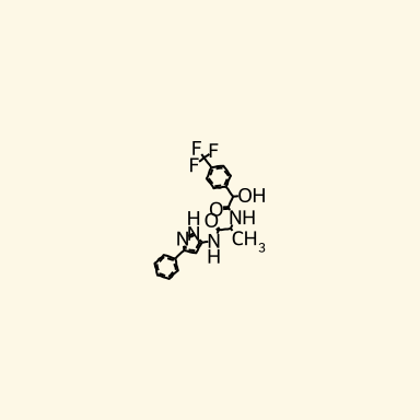 CC(NC(=O)C(O)c1ccc(C(F)(F)F)cc1)C(=O)Nc1cc(-c2ccccc2)n[nH]1